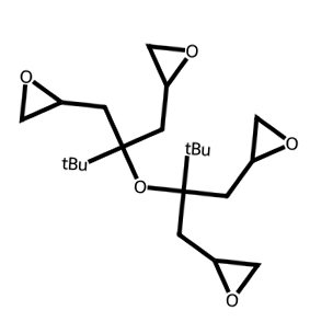 CC(C)(C)C(CC1CO1)(CC1CO1)OC(CC1CO1)(CC1CO1)C(C)(C)C